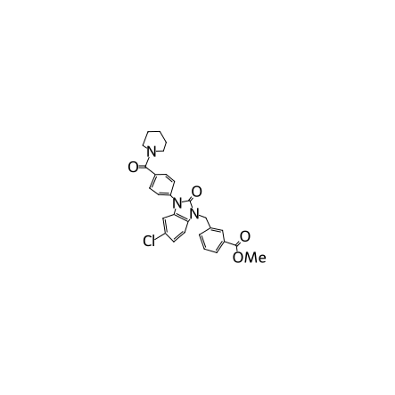 COC(=O)c1cccc(Cn2c(=O)n(-c3ccc(C(=O)N4CCCCC4)cc3)c3cc(Cl)ccc32)c1